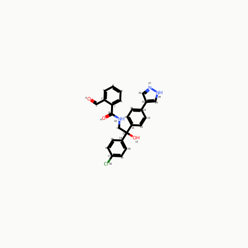 O=Cc1ccccc1C(=O)NCC(O)(c1ccc(Cl)cc1)c1ccc(-c2cn[nH]c2)cc1